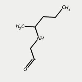 CCCC(C)NC[C]=O